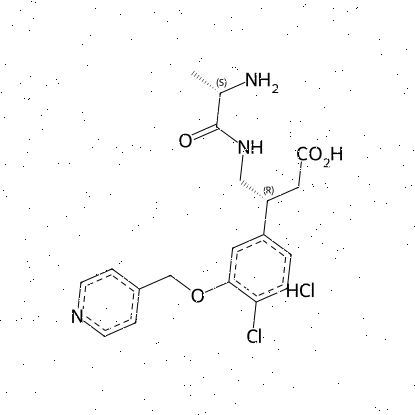 C[C@H](N)C(=O)NC[C@H](CC(=O)O)c1ccc(Cl)c(OCc2ccncc2)c1.Cl